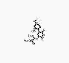 CCOC(Oc1cc(-c2ncc(CC(F)(F)F)cc2Cl)c(F)cc1Cl)C(=O)OC